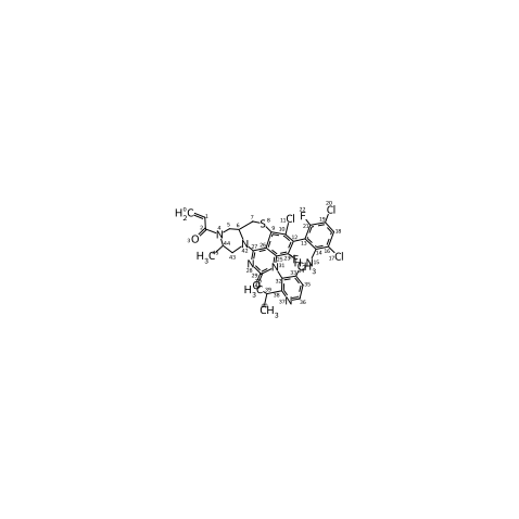 C=CC(=O)N1CC2CSc3c(Cl)c(-c4c(N)c(Cl)cc(Cl)c4F)c(F)c4c3c(nc(=O)n4-c3c(C)ccnc3C(C)C)N2CC1C